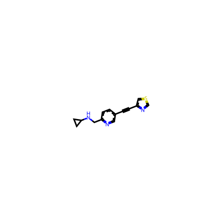 C(#Cc1cscn1)c1ccc(CNC2CC2)nc1